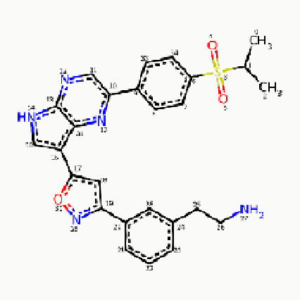 CC(C)S(=O)(=O)c1ccc(-c2cnc3[nH]cc(-c4cc(-c5cccc(CCN)c5)no4)c3n2)cc1